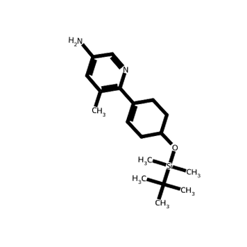 Cc1cc(N)cnc1C1=CCC(O[Si](C)(C)C(C)(C)C)CC1